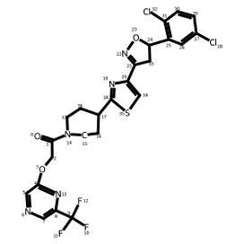 O=C(COc1cncc(C(F)(F)F)n1)N1CCC(c2nc(C3=NOC(c4cc(Cl)ccc4Cl)C3)cs2)CC1